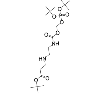 CC(C)(C)OC(=O)CCNCCNC(=O)OCOP(=O)(OC(C)(C)C)OC(C)(C)C